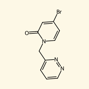 O=c1cc(Br)ccn1Cc1cccnn1